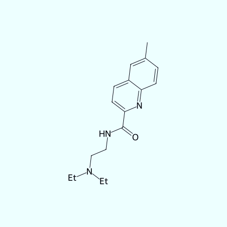 CCN(CC)CCNC(=O)c1ccc2cc(C)ccc2n1